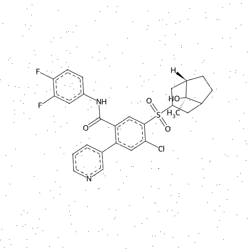 C[C@@]1(O)C2CC[C@H]1CC(S(=O)(=O)c1cc(C(=O)Nc3ccc(F)c(F)c3)c(-c3cccnc3)cc1Cl)C2